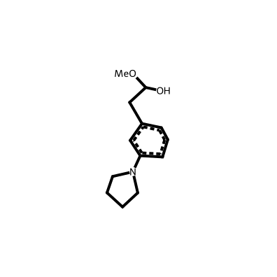 COC(O)Cc1cccc(N2CCCC2)c1